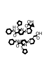 O=C(NC1CCCCC1)c1ccc(N2CCCC(C3(C(=O)O)CC3)C2)nc1SC1CCCC1.O=C(O)C[C@H]1CCCN(c2ccc(C(=O)NC3CCCCC3)c(SC3CCCC3)n2)C1